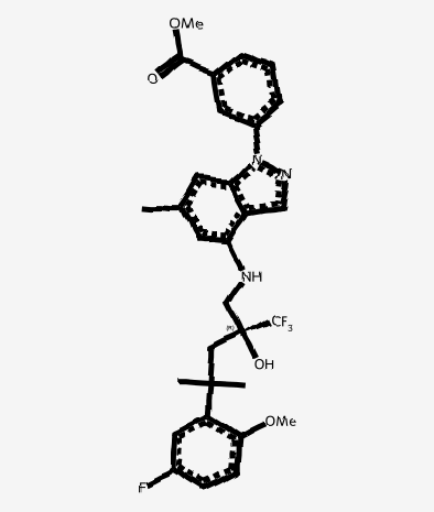 COC(=O)c1cccc(-n2ncc3c(NC[C@](O)(CC(C)(C)c4cc(F)ccc4OC)C(F)(F)F)cc(C)cc32)c1